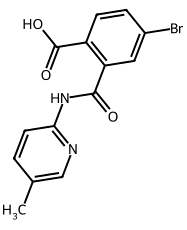 Cc1ccc(NC(=O)c2cc(Br)ccc2C(=O)O)nc1